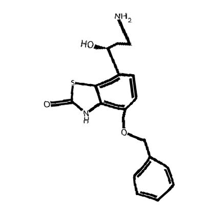 NC[C@H](O)c1ccc(OCc2ccccc2)c2[nH]c(=O)sc12